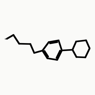 [CH2]CCCCc1ccc(C2CCCCC2)cc1